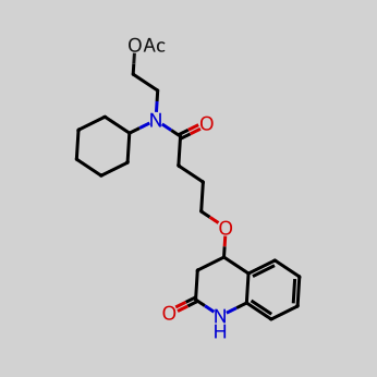 CC(=O)OCCN(C(=O)CCCOC1CC(=O)Nc2ccccc21)C1CCCCC1